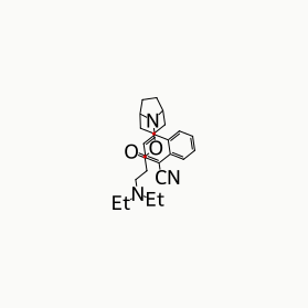 CCN(CC)CCC(=O)OC1CC2CCC(C1)N2c1ccc(C#N)c2ccccc12